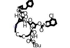 CC(C)(C)OC(=O)NC1CCCCC/C=C\C2CC2(C(=O)NS(=O)(=O)C2(Cc3ccccc3)CC2)NC(=O)C2CC(OC(=O)N3Cc4cccc(Cl)c4C3)CN2C1=O